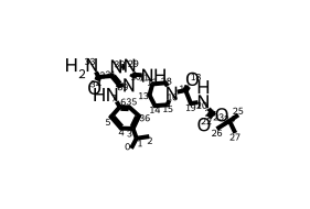 CC(C)c1ccc(Nc2nc(NC3CCCN(C(=O)CNC(=O)OC(C)(C)C)C3)nnc2C(N)=O)cc1